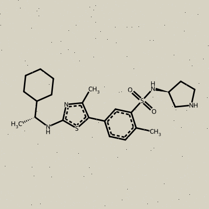 Cc1ccc(-c2sc(N[C@H](C)C3CCCCC3)nc2C)cc1S(=O)(=O)N[C@H]1CCNC1